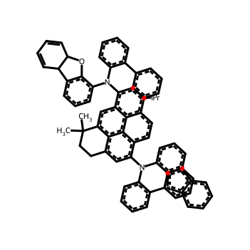 CC(C)c1cc(N(c2ccccc2-c2ccccc2)c2cccc3c2OC2C=CC=CC32)c2cc3c4c(cc(N(c5ccccc5-c5ccccc5)c5cccc6c5oc5ccccc56)c5ccc1c2c54)CCC3(C)C